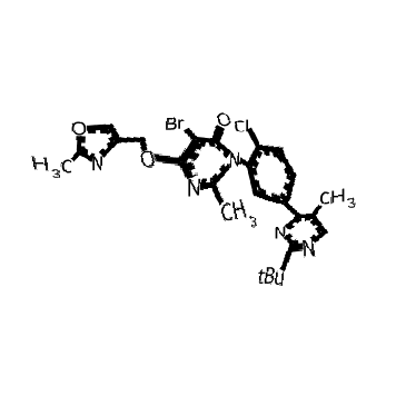 Cc1nc(COc2nc(C)n(-c3cc(-c4nc(C(C)(C)C)ncc4C)ccc3Cl)c(=O)c2Br)co1